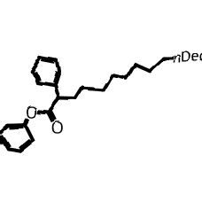 CCCCCCCCCCCCCCCCCCC(C(=O)Oc1ccccc1)c1ccccc1